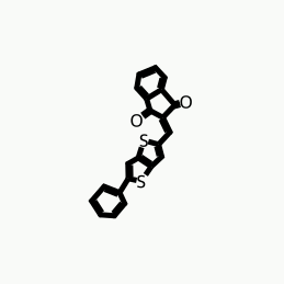 O=C1C(=Cc2cc3sc(-c4ccccc4)cc3s2)C(=O)c2ccccc21